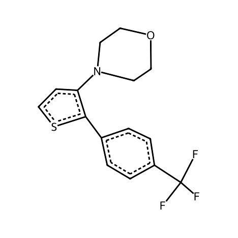 FC(F)(F)c1ccc(-c2sccc2N2CCOCC2)cc1